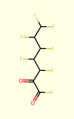 O=C(F)C(=O)C(F)C(F)C(F)C(F)C(F)F